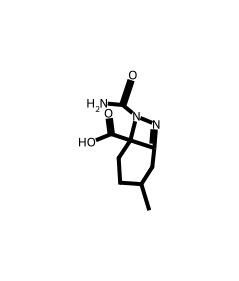 CC1CCC2(C(=O)O)C(=NN2C(N)=O)C1